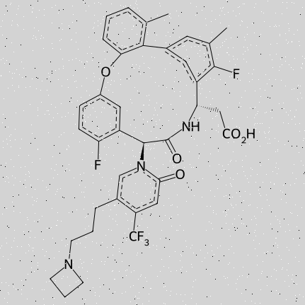 Cc1cc2cc(c1F)[C@H](CC(=O)O)NC(=O)[C@@H](n1cc(CCCN3CCC3)c(C(F)(F)F)cc1=O)c1cc(ccc1F)Oc1cccc(C)c1-2